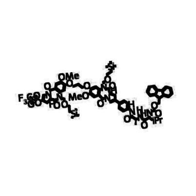 COc1cc2c(cc1OCCCOc1cc3c(cc1OC)C(=O)N1C=C(c4ccc(NC(=O)[C@H](C)NC(=O)C(NC(=O)OCC5c6ccccc6-c6ccccc65)C(C)C)cc4)C[C@H]1C(=O)N3COCC[Si](C)(C)C)N(COCC[Si](C)(C)C)C(=O)[C@@H]1CC(OS(=O)(=O)C(F)(F)F)=CN1C2=O